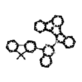 CC1(C)c2ccccc2-c2ccc(-c3nc(-n4c5ccccc5c5c4c4c6ccccc6c6cccc5n64)nc4ccccc34)cc21